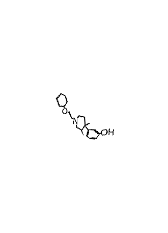 CC1CN(CCOC2CCCCC2)CCC1(C)c1cccc(O)c1